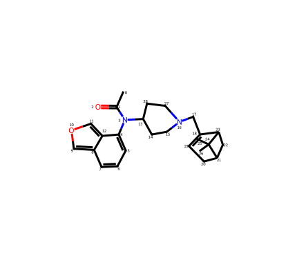 CC(=O)N(c1cccc2cocc12)C1CCN(CC2=CCC3CC2C3(C)C)CC1